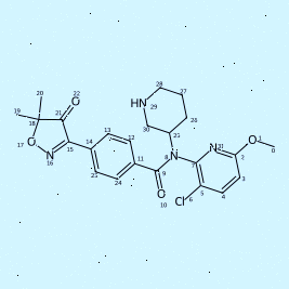 COc1ccc(Cl)c(N(C(=O)c2ccc(C3=NOC(C)(C)C3=O)cc2)C2CCCNC2)n1